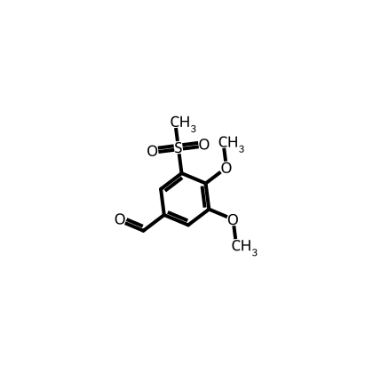 COc1cc(C=O)cc(S(C)(=O)=O)c1OC